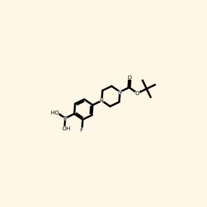 CC(C)(C)OC(=O)N1CCN(c2ccc(B(O)O)c(F)c2)CC1